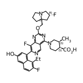 CCc1c(F)ccc2cc(O)cc(-c3ncc4c(N5CC[C@H](C(=O)O)[C@H](C)C5)nc(OC[C@@]56CCCN5C[C@H](F)C6)nc4c3F)c12